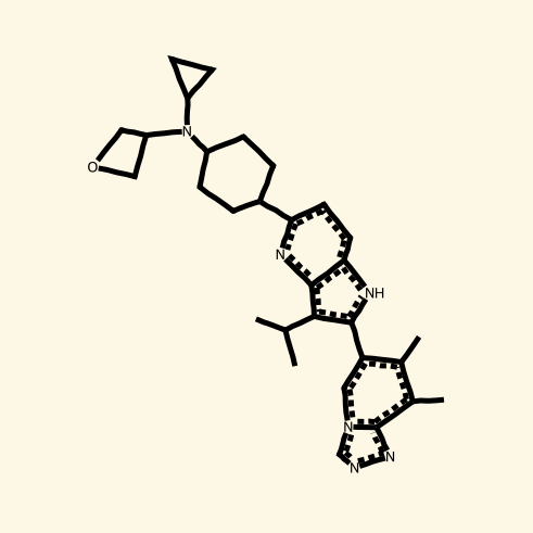 Cc1c(-c2[nH]c3ccc(C4CCC(N(C5CC5)C5COC5)CC4)nc3c2C(C)C)cn2cnnc2c1C